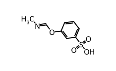 C/N=C/Oc1cccc(S(=O)(=O)O)c1